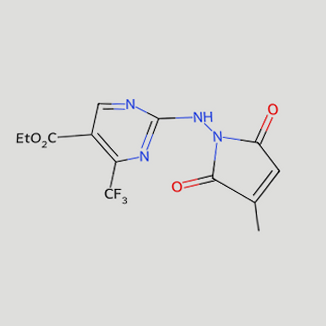 CCOC(=O)c1cnc(NN2C(=O)C=C(C)C2=O)nc1C(F)(F)F